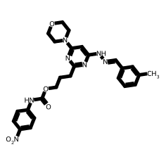 Cc1cccc(/C=N/Nc2cc(N3CCOCC3)nc(CCCOC(=O)Nc3ccc([N+](=O)[O-])cc3)n2)c1